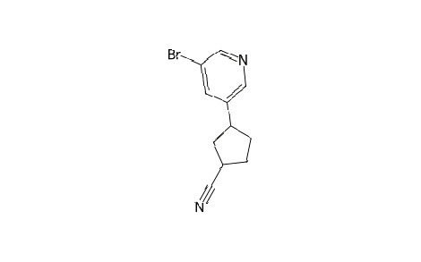 N#CC1CCC(c2cncc(Br)c2)C1